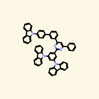 c1ccc(-c2cc(-c3cccc(-c4ccc(-n5c6ccccc6c6ccccc65)cc4)c3)nc(-c3cc(-n4c5ccccc5c5ccccc54)cc(-n4c5ccccc5c5ccccc54)c3)n2)cc1